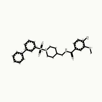 COc1cc(C(=O)NCC2CCN(S(=O)(=O)c3cccc(-c4ccccc4)c3)CC2)ccc1Cl